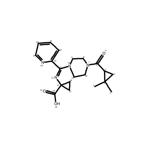 CC1(C)CC1C(=O)N1CCN(C(=NC2(C(=O)O)CC2)c2ccccn2)CC1